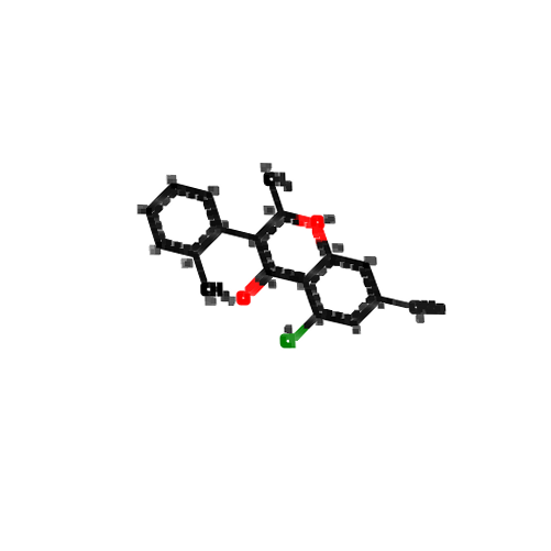 COc1cc(Cl)c2c(=O)c(-c3ccccc3C)c(C)oc2c1